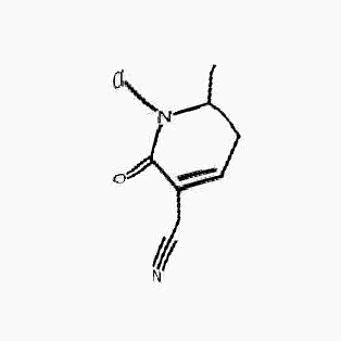 CC1CC=C(C#N)C(=O)N1Cl